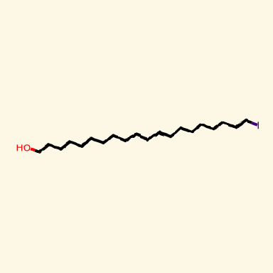 OCCCCCCCCCCCCCCCCCCCCI